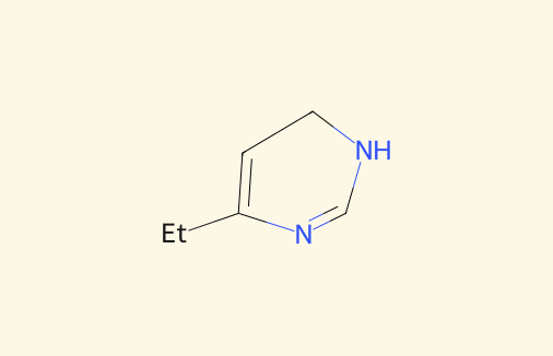 [CH2]CC1=CCNC=N1